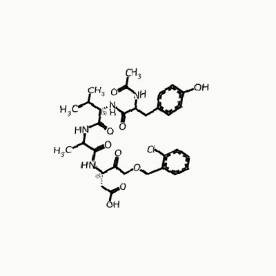 CC(=O)NC(Cc1ccc(O)cc1)C(=O)N[C@H](C(=O)NC(C)C(=O)N[C@@H](CC(=O)O)C(=O)COCc1ccccc1Cl)C(C)C